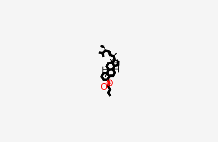 CCCC(=O)OC1CCC[C@@]2(C)C1=CC[C@H]1[C@@H]3CC[C@H]([C@H](C)/C=C/[C@@H](CC)C(C)C)[C@@]3(C)CC[C@@H]12